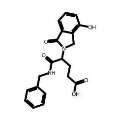 O=C(O)CCC(C(=O)NCc1ccccc1)N1Cc2c(O)cccc2C1=O